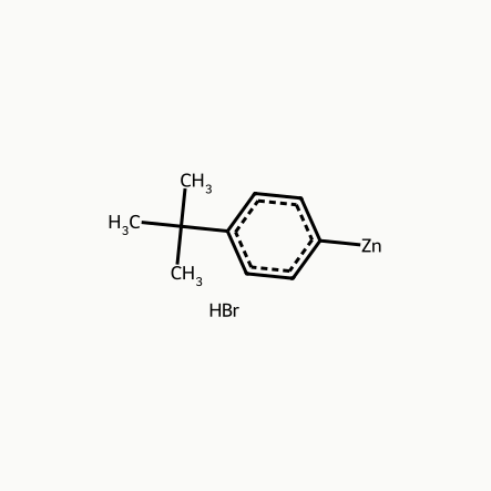 Br.CC(C)(C)c1cc[c]([Zn])cc1